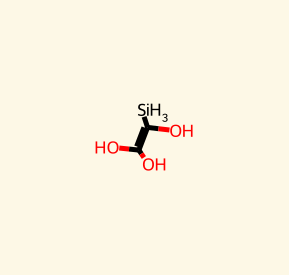 OC(O)=C(O)[SiH3]